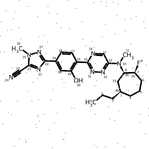 CCC[C@@H]1CCC[C@H](F)[C@H](N(C)c2cnc(-c3ccc(-c4nc(C#N)n(C)n4)cc3O)nn2)C1